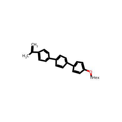 C=C(C)c1ccc(-c2ccc(-c3ccc(OCCCCCC)cc3)cc2)cc1